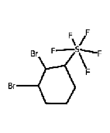 FS(F)(F)(F)(F)C1CCCC(Br)C1Br